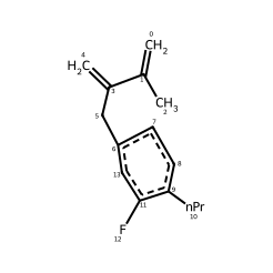 C=C(C)C(=C)Cc1ccc(CCC)c(F)c1